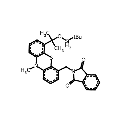 CN1c2cccc(CN3C(=O)c4ccccc4C3=O)c2Sc2c1cccc2C(C)(C)O[SiH2]C(C)(C)C